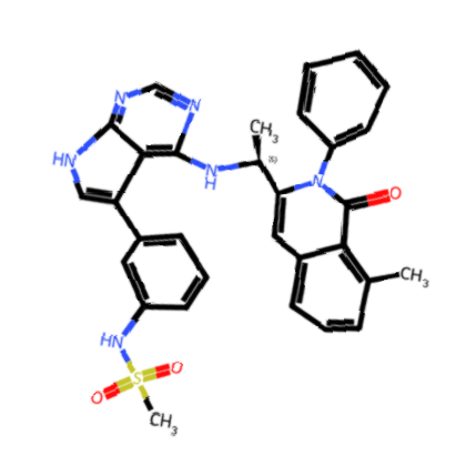 Cc1cccc2cc([C@H](C)Nc3ncnc4[nH]cc(-c5cccc(NS(C)(=O)=O)c5)c34)n(-c3ccccc3)c(=O)c12